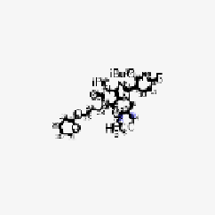 C/C=C\C(=C/C)Cn1c(-c2ccc(F)nc2OCC(C)C)nc2c1c(=O)n(CCCOC1CCCCO1)c(=O)n2C(C)C